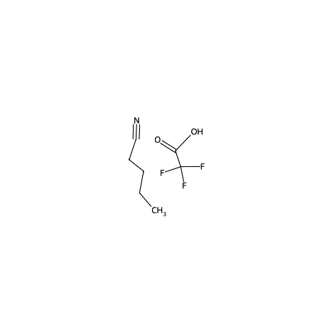 CCCCC#N.O=C(O)C(F)(F)F